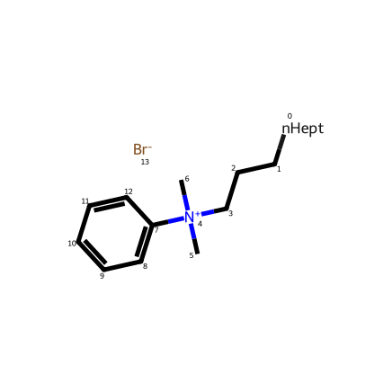 CCCCCCCCCC[N+](C)(C)c1ccccc1.[Br-]